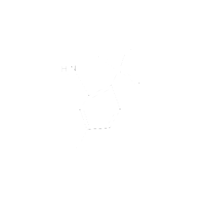 CCS(=O)(=O)c1ccc(C(F)(F)F)cc1N